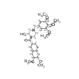 COc1cc2ccc(C(=O)N3CCN(Cc4cc(OC)c(OC)c(OC)c4)CC3)cc2cc1OC.Cl